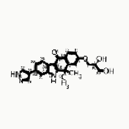 CC1(C)c2cc(OC[C@H](O)CO)ccc2C(=O)c2c1[nH]c1cc(-c3cn[nH]c3)ccc21